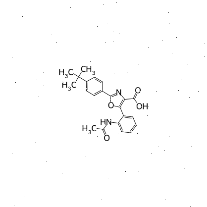 CC(=O)Nc1ccccc1-c1oc(-c2ccc(C(C)(C)C)cc2)nc1C(=O)O